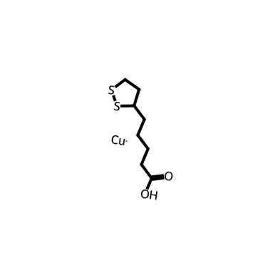 O=C(O)CCCCC1CCSS1.[Cu]